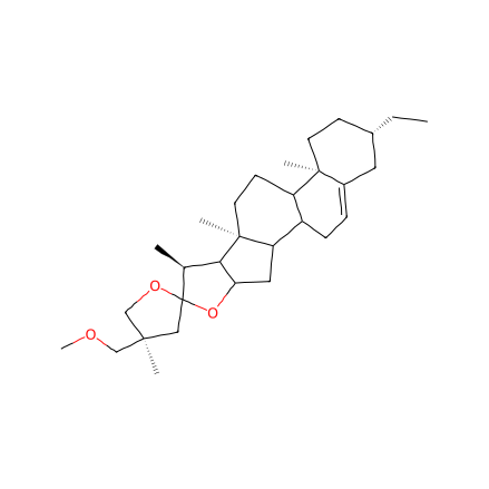 CC[C@H]1CC[C@@]2(C)C(=CCC3C4CC5OC6(C[C@@](C)(COC)CO6)[C@@H](C)C5[C@@]4(C)CCC32)C1